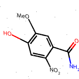 COc1cc(C(N)=O)c([N+](=O)[O-])cc1O